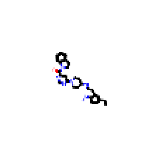 CCc1ccc(N)c(CCNC2CCN(c3cc(C(=O)N4CCc5ccccc54)ncn3)CC2)c1